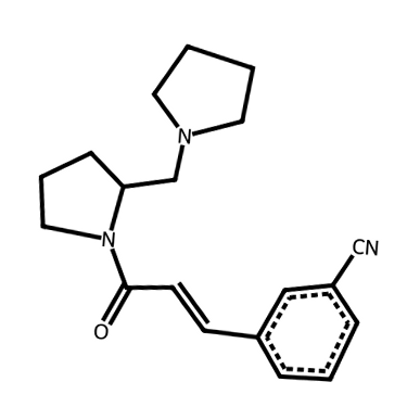 N#Cc1cccc(C=CC(=O)N2CCCC2CN2CCCC2)c1